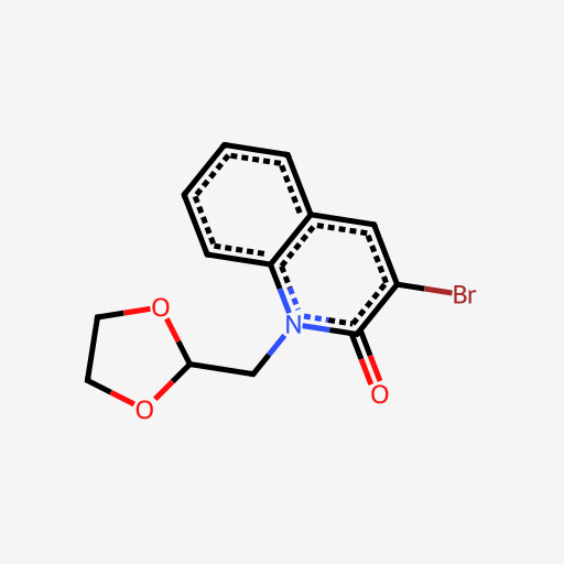 O=c1c(Br)cc2ccccc2n1CC1OCCO1